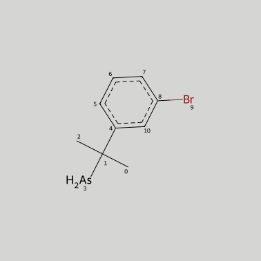 CC(C)([AsH2])c1cccc(Br)c1